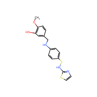 COc1ccc(CNc2ccc(SNc3nccs3)cc2)cc1O